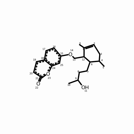 CC1=CCC(C)C(CCC(C)O)C1COc1ccc2ccc(=O)oc2c1